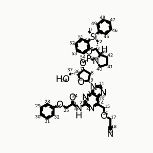 C[Si](C[C@H]1O[P@](O[C@@H]2C[C@H](n3cnc4c(COCC#N)nc(NC(=O)COc5ccccc5)nc43)O[C@@H]2CO)N2CCC[C@@H]12)(c1ccccc1)c1ccccc1